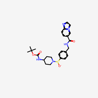 CC(C)(C)OC(=O)NC1CCN([S+]([O-])c2ccc(CNC(=O)c3ccc4nccn4c3)cc2)CC1